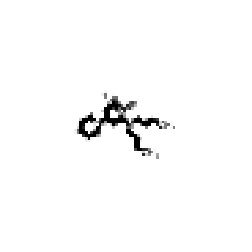 C/C=C/CN(C/C=C/C)c1cc(N2CCCCC2)cc(C)[n+]1[O-]